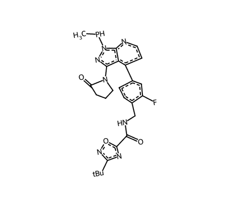 CPn1nc(N2CCCC2=O)c2c(-c3ccc(CNC(=O)c4nc(C(C)(C)C)no4)c(F)c3)ccnc21